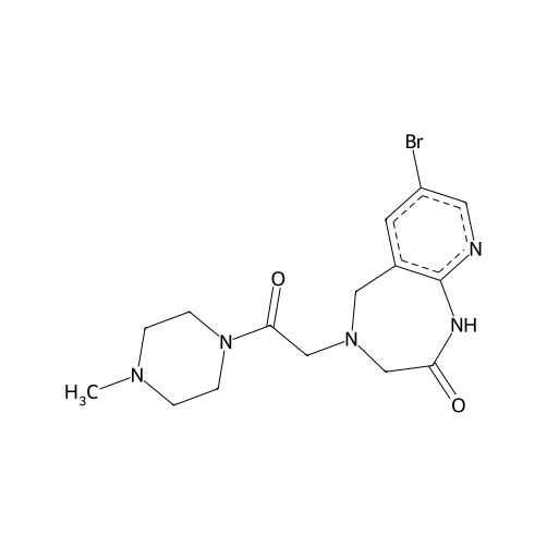 CN1CCN(C(=O)CN2CC(=O)Nc3ncc(Br)cc3C2)CC1